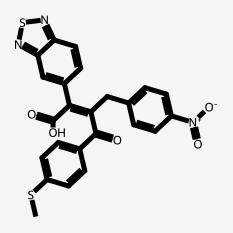 CSc1ccc(C(=O)C(Cc2ccc([N+](=O)[O-])cc2)=C(C(=O)O)c2ccc3nsnc3c2)cc1